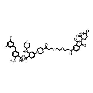 N=C(NC(=O)c1ccc(N2CCN(C(=O)CCOCCOCCNc3ccc4c(c3)C(=O)N(C3CCC(=O)NC3=O)C4=O)CC2)cc1NC1CCOCC1)c1cc(Cc2cc(F)cc(F)c2)ccc1N